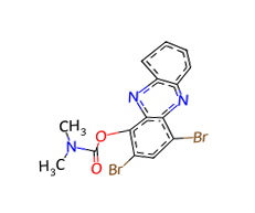 CN(C)C(=O)Oc1c(Br)cc(Br)c2nc3ccccc3nc12